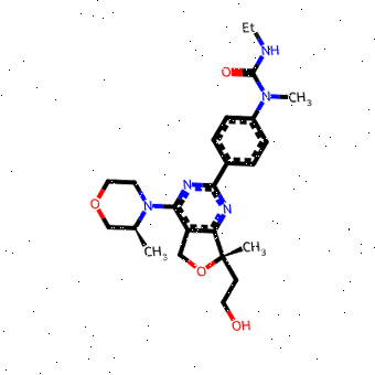 CCNC(=O)N(C)c1ccc(-c2nc(N3CCOC[C@@H]3C)c3c(n2)[C@](C)(CCO)OC3)cc1